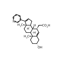 C[C@]12CC[C@@H](O)CC1=C[C@H](CC(=O)O)[C@@H]1[C@@H]2CC[C@]2(C)C(c3cccnc3)=CC[C@@H]12